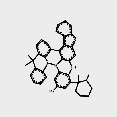 CC1CCCCC1(C)c1cc(C(C)(C)C)cc2c1Nc1cc3oc4ccccc4c3c3c1B2N1c2ccccc2C(C)(C)c2cccc-3c21